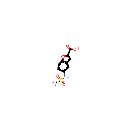 CS(=O)(=O)Nc1ccc2oc(C(=O)O)cc2c1